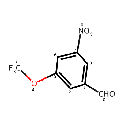 O=Cc1cc(OC(F)(F)F)cc([N+](=O)[O-])c1